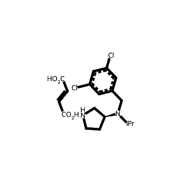 CC(C)N(Cc1cc(Cl)cc(Cl)c1)[C@H]1CCNC1.O=C(O)C=CC(=O)O